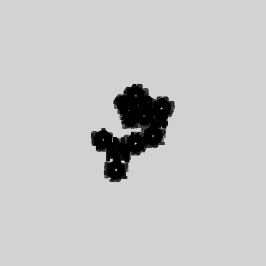 c1ccc(-c2nc(-c3ccccc3)nc(-c3ccc(-c4cccc(-c5nc6ccccc6c6c7c(ccc56)C5(c6ccccc6O7)c6ccccc6-c6ccccc65)c4)cc3)n2)cc1